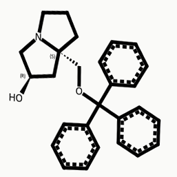 O[C@H]1CN2CCC[C@@]2(COC(c2ccccc2)(c2ccccc2)c2ccccc2)C1